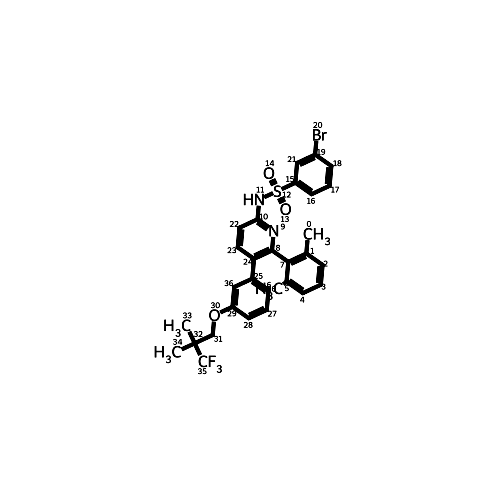 Cc1cccc(C)c1-c1nc(NS(=O)(=O)c2cccc(Br)c2)ccc1-c1cccc(OCC(C)(C)C(F)(F)F)c1